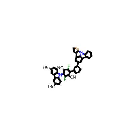 CC(C)(C)c1ccc2c(c1)c1cc(C(C)(C)C)ccc1n2-c1c(F)c(C#N)c(-c2cccc(-c3cc4c5ccccc5n5c6sccc6c(c3)c45)c2)c(F)c1C#N